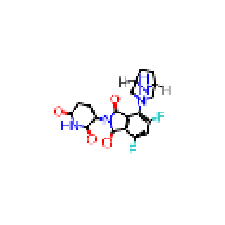 O=C1CCC(N2C(=O)c3c(F)cc(F)c(N4C[C@H]5CC[C@@H](C4)N5)c3C2=O)C(=O)N1